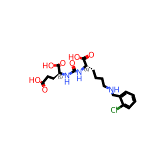 O=C(O)CC[C@H](NC(=O)N[C@@H](CCCCNCc1ccccc1Cl)C(=O)O)C(=O)O